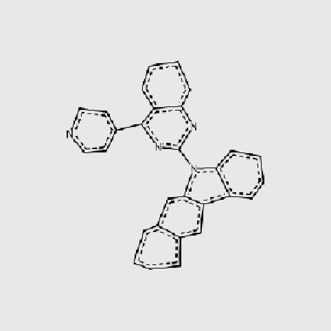 c1ccc2cc3c(cc2c1)c1ccccc1n3-c1nc(-c2ccncc2)c2ccccc2n1